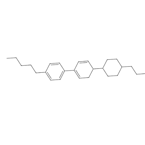 CCCCCc1ccc(C2=CCC(C3CCC(CCC)CC3)C=C2)cc1